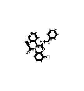 C#CC(=O)N(c1cccc(Cl)c1)C(C(=O)NCc1ccccc1)c1ccncc1